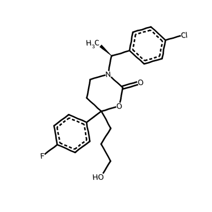 C[C@@H](c1ccc(Cl)cc1)N1CCC(CCCO)(c2ccc(F)cc2)OC1=O